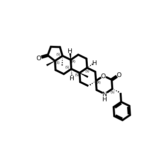 C[C@]12CC[C@]3(CN[C@@H](Cc4ccccc4)C(=O)O3)C[C@@H]1CC[C@@H]1[C@@H]2CC[C@]2(C)C(=O)CC[C@@]12C